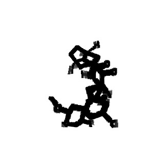 COc1cc(-c2cc(C(=O)N3C[C@H]4CC[C@@H](C3)C4C(=O)NCc3cccc(Cl)c3)n[nH]2)c(F)cn1